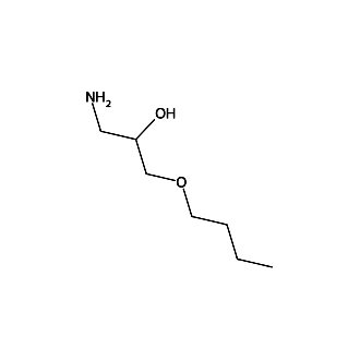 CCCCOCC(O)CN